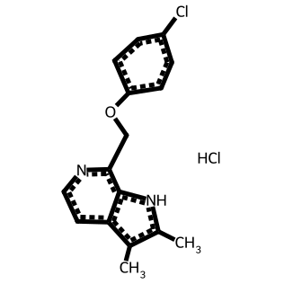 Cc1[nH]c2c(COc3ccc(Cl)cc3)nccc2c1C.Cl